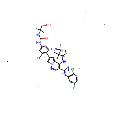 CCc1cc(NC(=O)NC(C)(C)CO)ccc1-c1cc2c(N[C@@H]3CC[C@](C)(N)C3(C)C)c(/C(N)=N/c3cc(F)ccc3Cl)cnn2c1